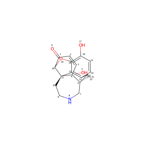 O=C1C=C[C@@]2(O)[C@@H]3CNCC[C@@]24c2c(ccc(O)c2OC14)C3